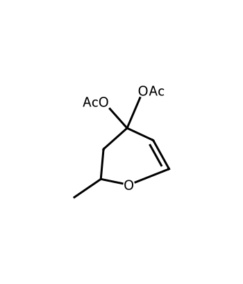 CC(=O)OC1(OC(C)=O)C=COC(C)C1